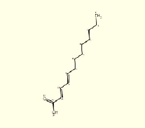 CCCCCCCCC=CC=CC(=O)O